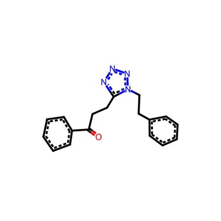 O=C(CCc1nnnn1CCc1ccccc1)c1ccccc1